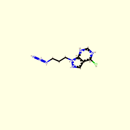 [N-]=[N+]=NCCCn1ncc2c(Cl)ncnc21